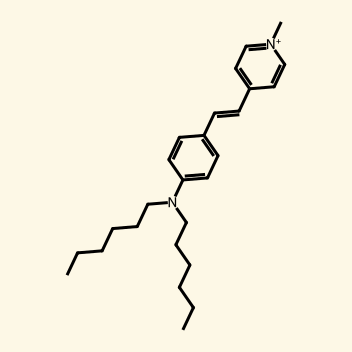 CCCCCCN(CCCCCC)c1ccc(C=Cc2cc[n+](C)cc2)cc1